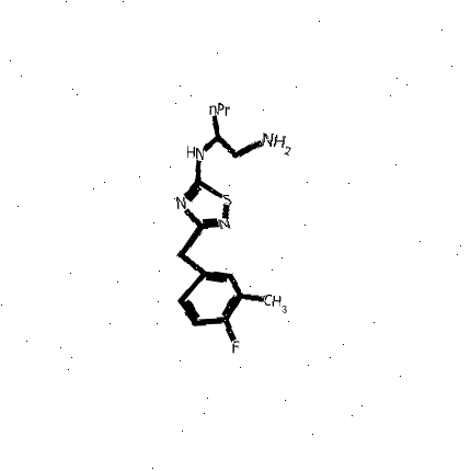 CCCC(CN)Nc1nc(Cc2ccc(F)c(C)c2)ns1